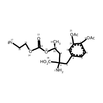 CC(=O)Oc1ccc(CC(N)(C[C@H](C)OC(=O)OCCC(C)C)C(=O)O)cc1OC(C)=O